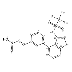 O=C(O)C=Cc1cccc(-c2cccc3c2C(OS(=O)(=O)C(F)(F)F)=CC3)c1